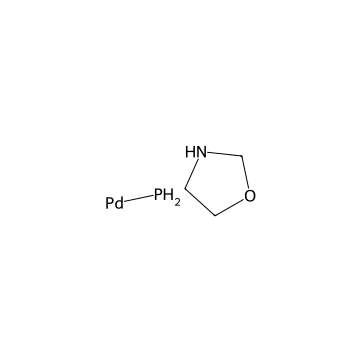 C1COCN1.[PH2][Pd]